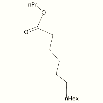 C[CH]COC(=O)CCCCCCCCCCC